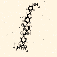 CC(C)(N)C(=O)N1CCN(C(=O)Nc2ccn(-c3ccc(CCN4CCC(N)C4)cc3)c(=O)n2)CC1